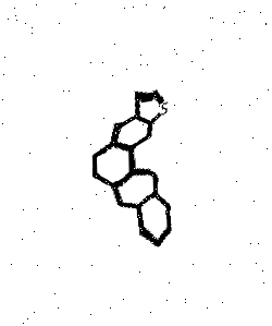 C1=CC2CC3CCC4CC5CCCCC5CC4C3CC2S1